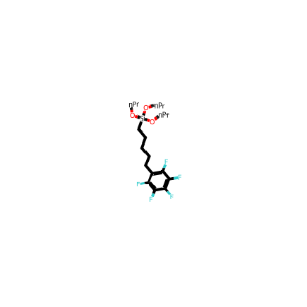 CCCO[Si](CCCCCc1c(F)c(F)c(F)c(F)c1F)(OCCC)OCCC